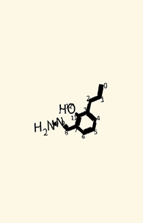 C=CCc1cccc(C=NN)c1O